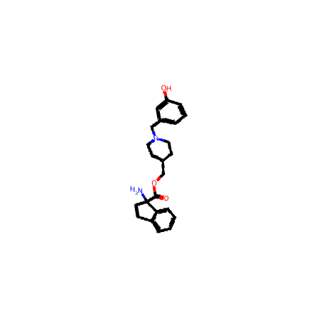 NC1(C(=O)OCC2CCN(Cc3cccc(O)c3)CC2)CCc2ccccc21